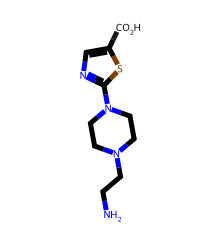 NCCN1CCN(c2ncc(C(=O)O)s2)CC1